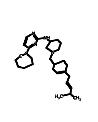 CC(C)C=CCC1=CCC(CN2CCCC(Nc3nccc(N4CCCCCC4)n3)C2)CC1